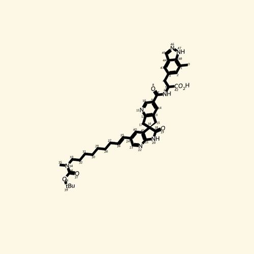 Cc1cc(CC(NC(=O)c2cnc3c(c2)C[C@@]2(C3)C(=O)Nc3ncc(/C=C/CCCCCCCN(C)C(=O)OC(C)(C)C)cc32)C(=O)O)cc2cn[nH]c12